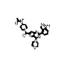 CC(=O)N(C)C1CCN(C(=O)c2cc3nc(-c4cccc5[nH]ncc45)nc(N4CCOCC4)c3s2)CC1